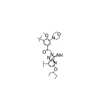 CCC(CC)Oc1cc(C(C)C)c2nn(CC(=O)c3cc(N4CCOCC4)c(OC)c(C(C)(C)C)c3)c(=N)n2n1